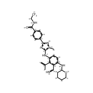 C=C(C)c1c(Nc2nc(-c3ccc(C(=O)NCC(F)(F)F)cc3)nn2C)ccc(NC2CCCCO2)c1C=N